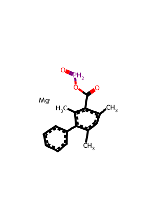 Cc1cc(C)c(-c2ccccc2)c(C)c1C(=O)O[PH2]=O.[Mg]